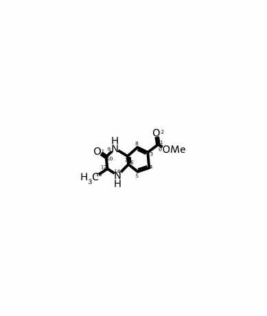 COC(=O)c1ccc2c(c1)NC(=O)C(C)N2